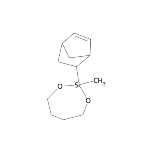 C[Si]1(C2CC3C=CC2C3)OCCCCO1